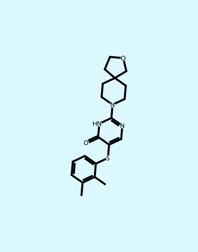 Cc1cccc(Sc2cnc(N3CCC4(CCOC4)CC3)[nH]c2=O)c1C